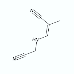 C/C(C#N)=C/NCC#N